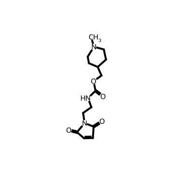 CN1CCC(COC(=O)NCCN2C(=O)C=CC2=O)CC1